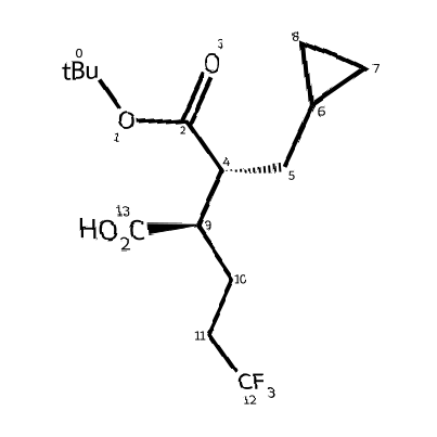 CC(C)(C)OC(=O)[C@H](CC1CC1)[C@@H](CCC(F)(F)F)C(=O)O